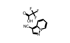 N#Cc1cnn2ccccc12.O=C(O)C(F)(F)F